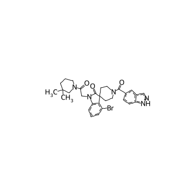 CC1(C)CCCN(C(=O)CN2C(=O)C3(CCN(C(=O)c4ccc5[nH]ncc5c4)CC3)c3c(Br)cccc32)C1